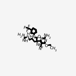 CCOc1nc(N)nc([C@](N)(CCCNC(=N)N)C(=O)Nc2cccc(C(F)(F)F)c2)c1C#N